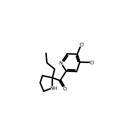 CCCC1(C(=O)c2cc(Cl)c(Cl)cn2)CCCN1